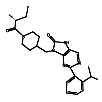 CC(C)c1ccccc1-c1ncc2[nH]c(=O)n(CC3CCN(C(=O)[C@H](C)CF)CC3)c2n1